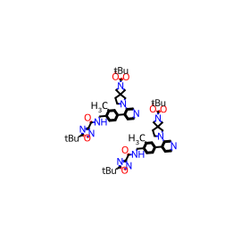 Cc1cc(-c2ccncc2N2CCC3(CN(C(=O)OC(C)(C)C)C3)C2)ccc1CNC(=O)c1noc(C(C)(C)C)n1.Cc1cc(-c2ccncc2N2CCC3(CN(C(=O)OC(C)(C)C)C3)C2)ccc1CNC(=O)c1noc(C(C)(C)C)n1